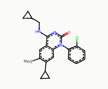 COc1cc2c(NCC3CC3)nc(=O)n(-c3ccccc3Cl)c2cc1C1CC1